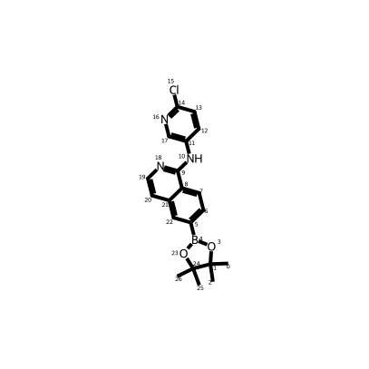 CC1(C)OB(c2ccc3c(Nc4ccc(Cl)nc4)nccc3c2)OC1(C)C